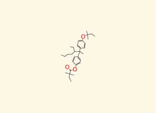 CCCCC(CC)C(C)(c1ccc(OC(=O)C(C)(C)CC)cc1)c1ccc(OC(C)(C)CC)cc1